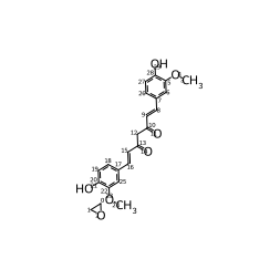 C1CO1.COc1cc(/C=C/C(=O)CC(=O)/C=C/c2ccc(O)c(OC)c2)ccc1O